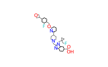 O=C(O)c1ccc2nc(CN3CCC(c4cccc(OCc5ccc(C6COC6)cc5F)n4)CC3)n(CC3(CF)CC3)c2c1